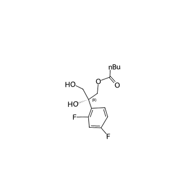 CCCCC(=O)OC[C@](O)(CO)c1ccc(F)cc1F